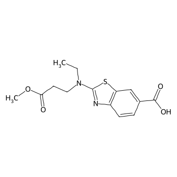 CCN(CCC(=O)OC)c1nc2ccc(C(=O)O)cc2s1